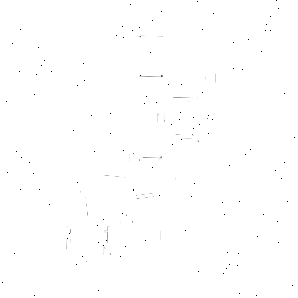 Cc1cnc(C(=O)N[C@H]2COc3cccnc3N(C)C2=O)nc1C12CCC(CC1)CC2